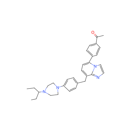 CCC(CC)N1CCN(c2ccc(Cc3ccc(-c4ccc(C(C)=O)cc4)n4ccnc34)cc2)CC1